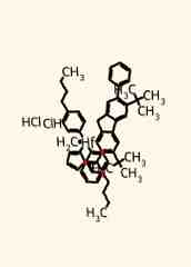 Cl.Cl.[CH2]=[Hf]([C]1=CC=CC1)([c]1ccc(CCCC)cc1)([c]1ccc(CCCC)cc1)[c]1c2c(cc(C(C)(C)C)c1-c1ccccc1)-c1cc(C(C)(C)C)c(-c3ccccc3)cc1C2